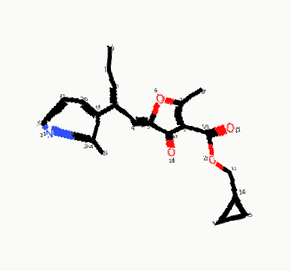 CC/C=C(/C=C1\OC(C)=C(C(=O)OCC2CC2)C1=O)c1cccnc1C